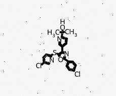 CC(C)(O)c1ccc(-c2nc(-c3ccc(Cl)cc3)oc2Sc2ccc(Cl)cn2)cn1